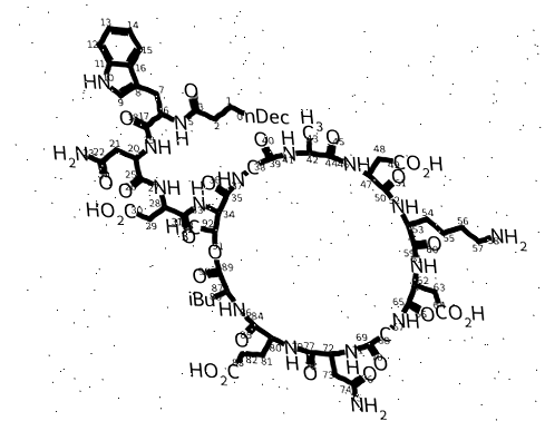 CCCCCCCCCCCCC(=O)NC(Cc1c[nH]c2ccccc12)C(=O)NC(CC(N)=O)C(=O)NC(CC(=O)O)C(=O)NC1C(=O)NCC(=O)NC(C)C(=O)NC(CC(=O)O)C(=O)NC(CCCCN)C(=O)NC(CC(=O)O)C(=O)NCC(=O)NC(CC(N)=O)C(=O)NC(CCC(=O)O)C(=O)NC(C(C)CC)C(=O)OC1C